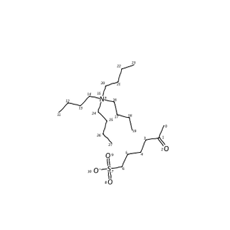 CC(=O)CCCCS(=O)(=O)[O-].CCCC[N+](CCCC)(CCCC)CCCC